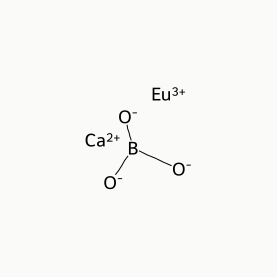 [Ca+2].[Eu+3].[O-]B([O-])[O-]